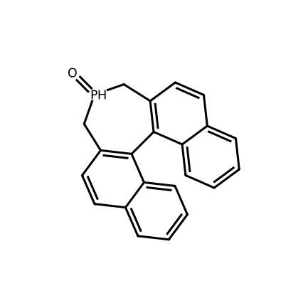 O=[PH]1Cc2ccc3ccccc3c2-c2c(ccc3ccccc23)C1